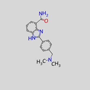 CN(C)Cc1ccc(-c2nc3c(C(N)=O)cccc3[nH]2)cc1